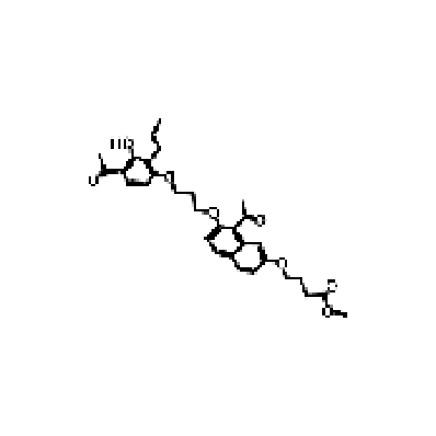 CCCc1c(OCCCOc2ccc3ccc(OCCCC(=O)OC)cc3c2C(C)=O)ccc(C(C)=O)c1O